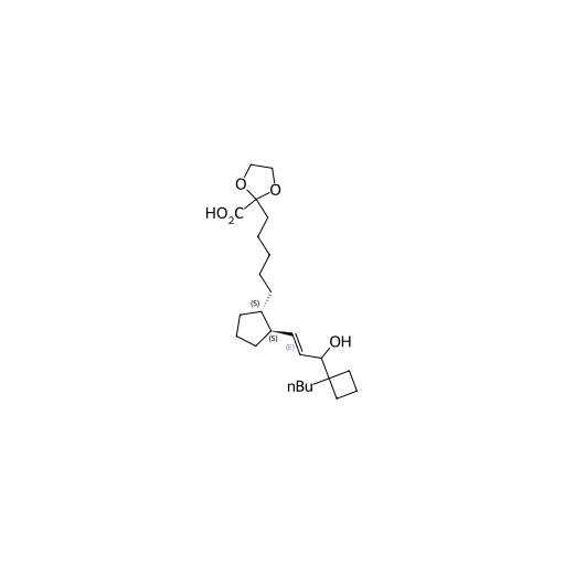 CCCCC1(C(O)/C=C/[C@H]2CCC[C@@H]2CCCCCC2(C(=O)O)OCCO2)CCC1